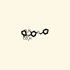 O=C(O)c1ccccc1Nc1ccc(OCc2ccccc2)cc1[N+](=O)[O-]